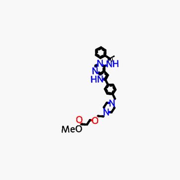 COC(=O)CCOCCN1CCN(Cc2ccc(-c3cc4c(N[C@H](C)c5ccccc5)ncnc4[nH]3)cc2)CC1